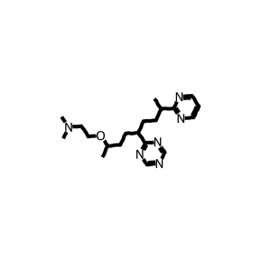 CC(CCC(CCC(C)c1ncccn1)c1ncncn1)OCCN(C)C